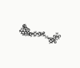 O=C1CCC(N2Cc3c(NCCCCCC(=O)N4CCN(C5CCN(c6ccc7c(c6)C(=O)N(C(C(=O)Nc6nccs6)c6cc(F)ccc6O)C7)CC5)CC4)cccc3C2=O)C(=O)N1